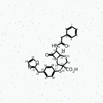 O=C(Cc1ccccc1)N[C@@H]1C(=O)N2CC(Sc3ccc(Cc4ncco4)cc3)(C(=O)O)CS[C@H]12